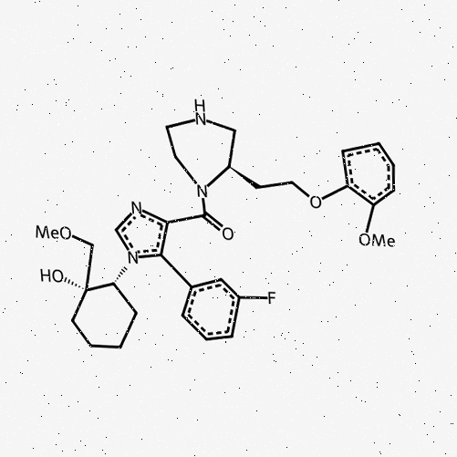 COC[C@]1(O)CCCC[C@H]1n1cnc(C(=O)N2CCNC[C@H]2CCOc2ccccc2OC)c1-c1cccc(F)c1